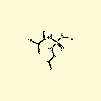 CCC(F)F.CCCOP(=O)(O)OF